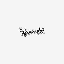 COC(=O)C(C)C(=O)OCCOCCOC(=O)C(C)C(=O)OC